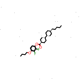 CCCCC[C@H]1CC[C@H]([C@H]2CC[C@H](C(=O)Oc3ccc(OCCCC)c(F)c3F)CC2)CC1